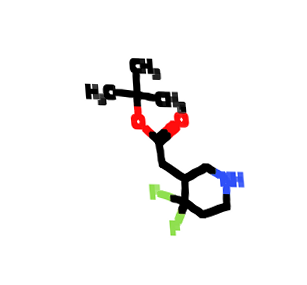 CC(C)(C)OC(=O)CC1CNCCC1(F)F